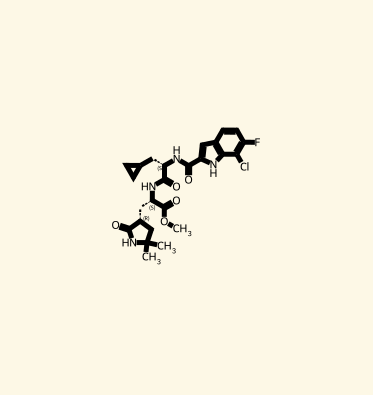 COC(=O)[C@H](C[C@@H]1CC(C)(C)NC1=O)NC(=O)[C@H](CC1CC1)NC(=O)c1cc2ccc(F)c(Cl)c2[nH]1